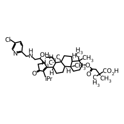 CC(C)C1=C2[C@H]3CC[C@@H]4[C@@]5(C)CC[C@H](OC(=O)CC(C)(C)C(=O)O)C(C)(C)[C@@H]5CC[C@@]4(C)[C@]3(C)CC[C@@]2([C@H](O)CNCc2ccc(Cl)cn2)CC1=O